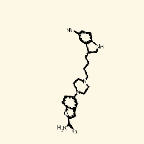 N#Cc1ccc2c(c1)C(CCCCN1CCN(c3ccc4oc(C(N)=O)cc4c3)CC1)CN2